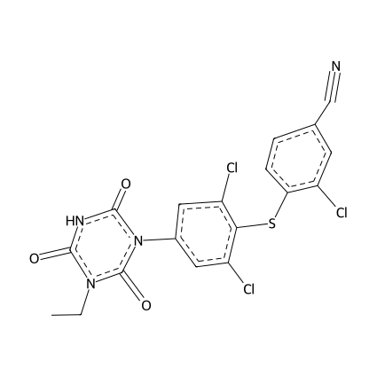 CCn1c(=O)[nH]c(=O)n(-c2cc(Cl)c(Sc3ccc(C#N)cc3Cl)c(Cl)c2)c1=O